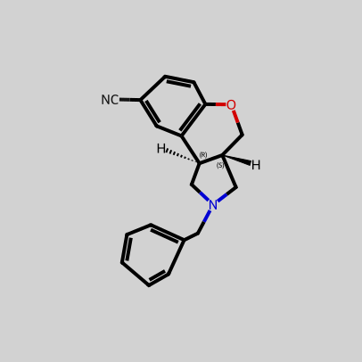 N#Cc1ccc2c(c1)[C@@H]1CN(Cc3ccccc3)C[C@H]1CO2